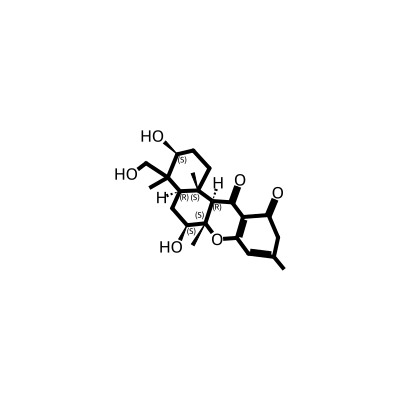 CC1=CC2=C(C(=O)C1)C(=O)[C@@H]1[C@@]3(C)CC[C@H](O)C(C)(CO)[C@@H]3C[C@H](O)[C@@]1(C)O2